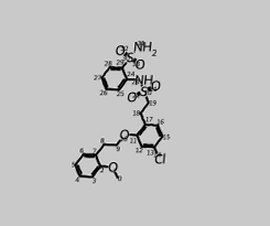 COc1ccccc1CCOc1cc(Cl)ccc1CCS(=O)(=O)Nc1ccccc1S(N)(=O)=O